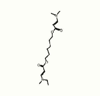 CCN(C)/C=C/C(=O)OCCCCCCOC(=O)/C=C/N(C)C